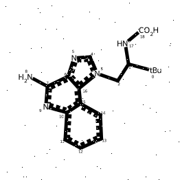 CC(C)(C)C(Cn1cnc2c(N)nc3ccccc3c21)NC(=O)O